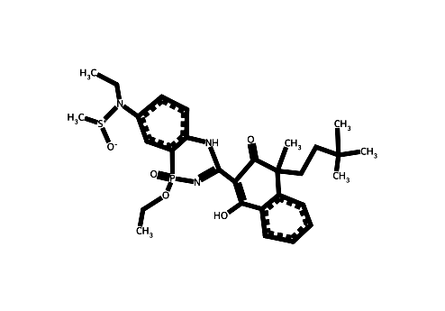 CCOP1(=O)N=C(C2=C(O)c3ccccc3C(C)(CCC(C)(C)C)C2=O)Nc2ccc(N(CC)[S+](C)[O-])cc21